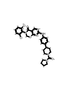 O=C(N1CCCC1)N1CCC(c2ccc(Nc3ncc4c(n3)OCN(c3c(Cl)cccc3Cl)C4=O)cc2)CC1